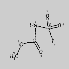 COC(=O)NS(=O)(=O)F